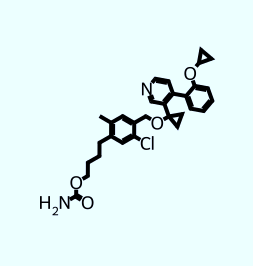 Cc1cc(COC2(c3cnccc3-c3ccccc3OC3CC3)CC2)c(Cl)cc1CCCCOC(N)=O